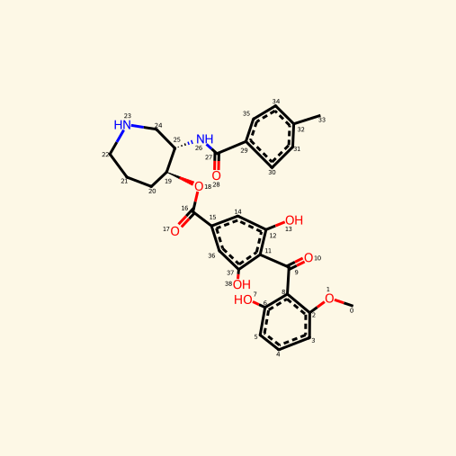 COc1cccc(O)c1C(=O)c1c(O)cc(C(=O)O[C@H]2CCCNC[C@@H]2NC(=O)c2ccc(C)cc2)cc1O